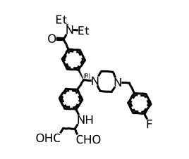 CCN(CC)C(=O)c1ccc([C@H](c2cccc(NC(C=O)CC=O)c2)N2CCN(Cc3ccc(F)cc3)CC2)cc1